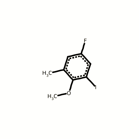 COc1c(C)cc(F)cc1I